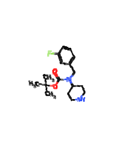 CC(C)(C)OC(=O)N(Cc1cccc(F)c1)C1CCNCC1